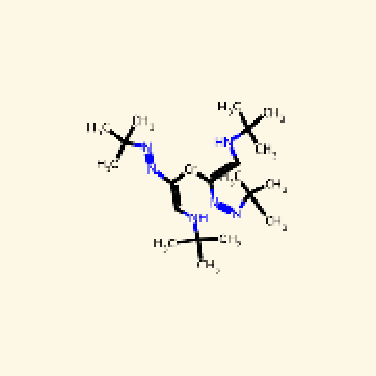 CC(C)(C)N=N[C](=CNC(C)(C)C)[Cr][C](=CNC(C)(C)C)N=NC(C)(C)C